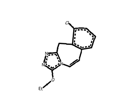 CCOc1nnc2n1C=Cc1cccc(Cl)c1C2